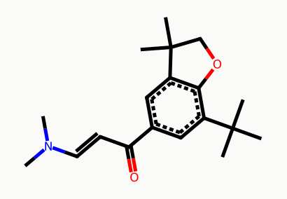 CN(C)C=CC(=O)c1cc(C(C)(C)C)c2c(c1)C(C)(C)CO2